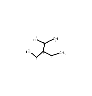 CCC(CO)C(O)O